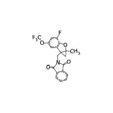 CC12CC1(CN1C(=O)c3ccccc3C1=O)c1cc(OC(F)(F)F)cc(F)c1O2